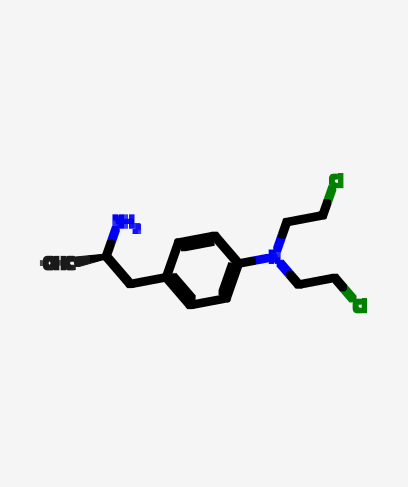 N[C@H]([C]=O)Cc1ccc(N(CCCl)CCCl)cc1